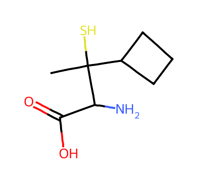 CC(S)(C1CCC1)C(N)C(=O)O